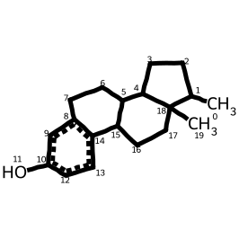 CC1CCC2C3CCc4cc(O)ccc4C3CCC12C